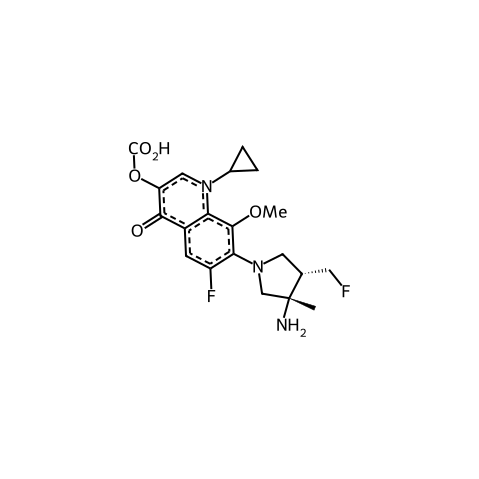 COc1c(N2C[C@H](CF)[C@](C)(N)C2)c(F)cc2c(=O)c(OC(=O)O)cn(C3CC3)c12